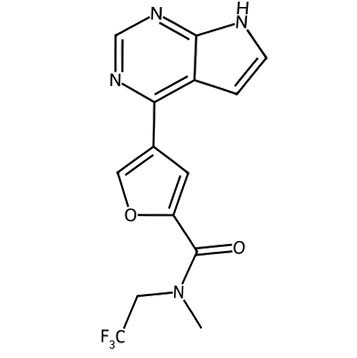 CN(CC(F)(F)F)C(=O)c1cc(-c2ncnc3[nH]ccc23)co1